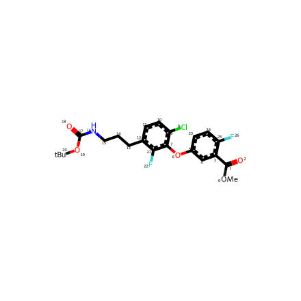 COC(=O)c1cc(Oc2c(Cl)ccc(CCCNC(=O)OC(C)(C)C)c2F)ccc1F